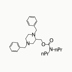 CCCN(CCC)C(=O)OCC1CN(Cc2ccccc2)CCN1Cc1ccccc1